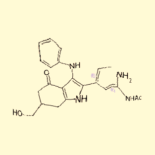 C/C=C(\C=C(/N)NC(C)=O)c1[nH]c2c(c1Nc1ccccc1)C(=O)CC(CO)C2